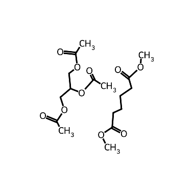 CC(=O)OCC(COC(C)=O)OC(C)=O.COC(=O)CCCCC(=O)OC